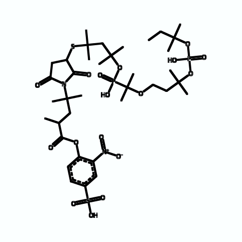 CCC(C)(C)OP(=O)(O)OC(C)(C)CCOC(C)(C)P(=O)(O)OC(C)(C)CC(C)(C)SC1CC(=O)N(C(C)(C)CC(C)C(=O)Oc2ccc(S(=O)(=O)O)cc2[N+](=O)[O-])C1=O